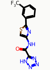 O=C(Nc1csc(-c2cccc(C(F)(F)F)c2)n1)c1nnn[nH]1